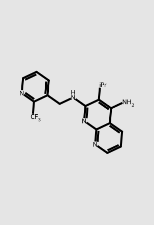 CC(C)c1c(NCc2cccnc2C(F)(F)F)nc2ncccc2c1N